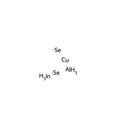 [AlH3].[Cu].[InH3].[Se].[Se]